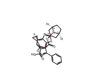 O=C(O)c1cc(F)c2nc(N3[C@@H]4CC[C@H]3C[C@@H](OC(=O)c3c(-c5ccccc5)noc3C3CC3)C4)sc2c1